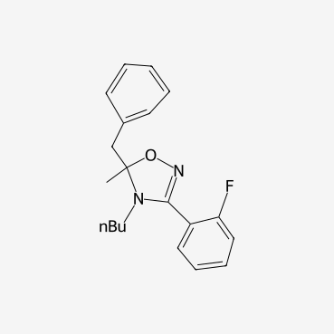 CCCCN1C(c2ccccc2F)=NOC1(C)Cc1ccccc1